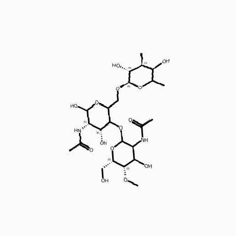 CO[C@H]1C(O)C(NC(C)=O)C(OC2C(CO[C@@H]3OC(C)C(O)[C@H](C)[C@H]3O)OC(O)[C@@H](NC(C)=O)[C@H]2O)O[C@H]1CO